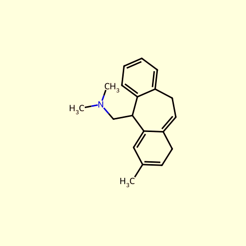 CC1=CCC2=CCc3ccccc3C(CN(C)C)C2=C1